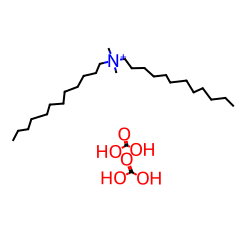 CCCCCCCCCCCC[N+](C)(C)CCCCCCCCCCCC.O=C(O)O.O=C(O)O